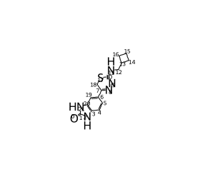 O=c1[nH]c2ccc(C3=NN=C(NCC4CCC4)SC3)cc2[nH]1